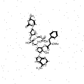 CO[C@@H](Cc1ccccc1)C(=O)O[C@H]1[C@@H](O)[C@H](n2cnc3c(N)ncnc32)O[C@@H]1COP(=O)(O)O[C@H]1C[C@H](n2ccc(N)nc2=O)O[C@@H]1COP(=O)(O)O